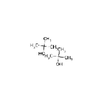 CC(C)(C)O.CC(C)(C)O